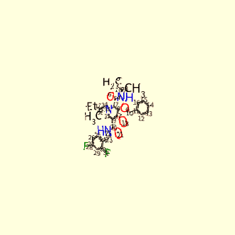 C=C[C@H](C)NC(=O)c1c(OCc2ccccc2)c(=O)c(C(=O)NCc2ccc(F)cc2F)cn1C=C(C)[CH]C